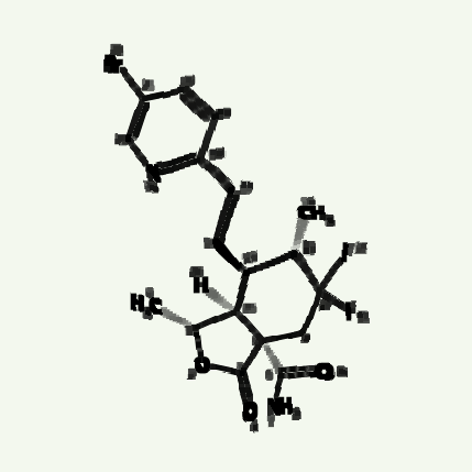 C[C@H]1OC(=O)[C@]2(C(N)=O)CC(F)(F)[C@@H](C)[C@H](C=Cc3ccc(Br)cn3)[C@H]12